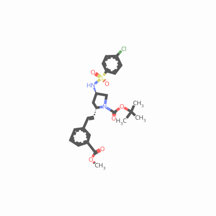 COC(=O)c1cccc(C=C[C@@H]2C[C@@H](NS(=O)(=O)c3ccc(Cl)cc3)CN2C(=O)OC(C)(C)C)c1